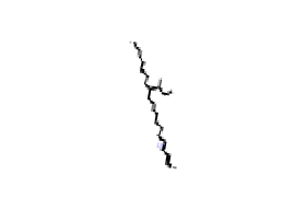 [CH2]CC/C=C/CCCCCCCC(CCCCCC[CH2])C(C)CC